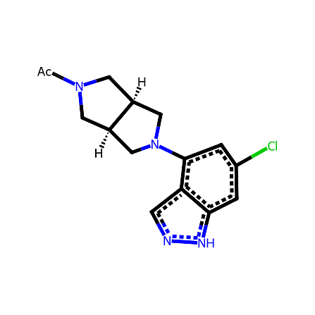 CC(=O)N1C[C@@H]2CN(c3cc(Cl)cc4[nH]ncc34)C[C@@H]2C1